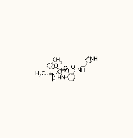 CC[C@@H](Nc1c(Nc2cccc(C(=O)NCCc3cc[nH]c3)c2O)c(=O)c1=O)c1ccc(C)o1